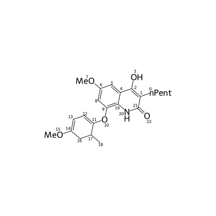 CCCCCc1c(O)c2cc(OC)cc(OC3=CC=C(OC)CC3C)c2[nH]c1=O